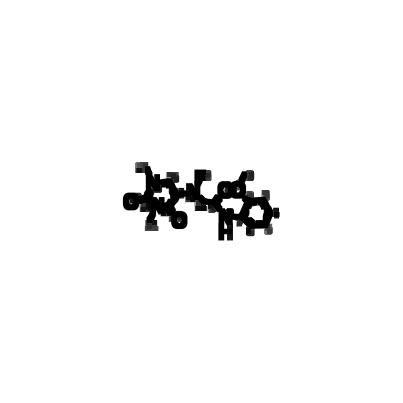 COc1ccccc1NC(=O)CN(F)c1cn(C)c(=O)n(C)c1=O